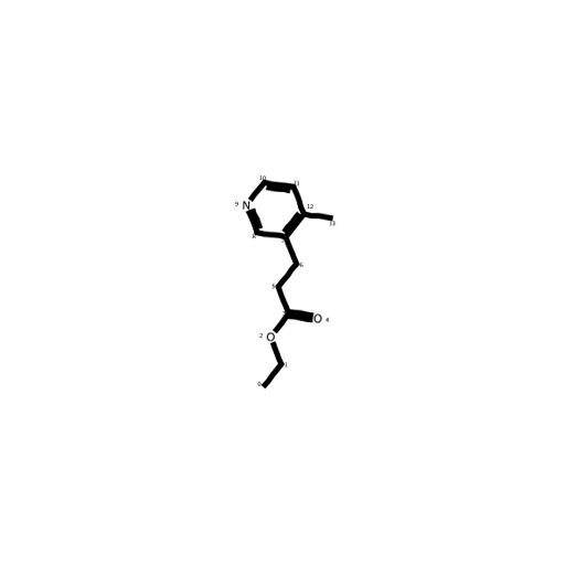 CCOC(=O)CCc1cnccc1C